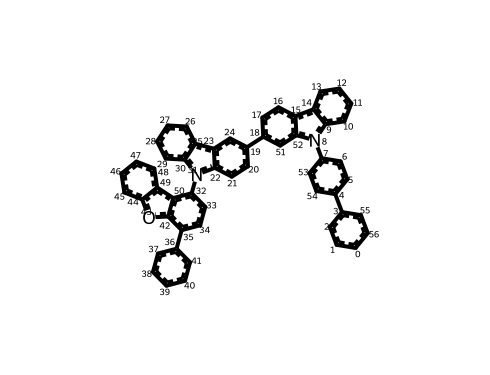 c1ccc(-c2ccc(-n3c4ccccc4c4ccc(-c5ccc6c(c5)c5ccccc5n6-c5ccc(-c6ccccc6)c6oc7ccccc7c56)cc43)cc2)cc1